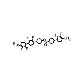 CCOc1ccc(-c2ccc(C3CCC(OC(=O)C4CC=C(c5ccc(C)c(F)c5F)CC4)CC3)c(F)c2F)c(F)c1F